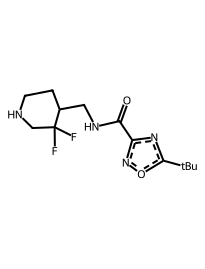 CC(C)(C)c1nc(C(=O)NCC2CCNCC2(F)F)no1